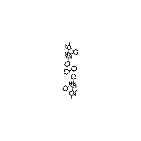 Cc1ccc(-c2nnc(-c3ccc(-c4ccccc4-c4ccccc4-c4ccc(-c5nnc(-c6ccc(C)nc6C)c(-c6ccccc6)n5)cc4)cc3)nc2-c2ccccc2)c(C)n1